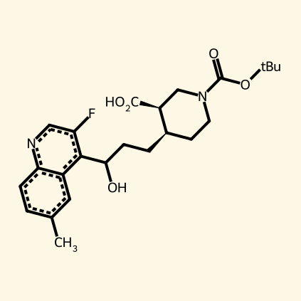 Cc1ccc2ncc(F)c(C(O)CC[C@@H]3CCN(C(=O)OC(C)(C)C)C[C@@H]3C(=O)O)c2c1